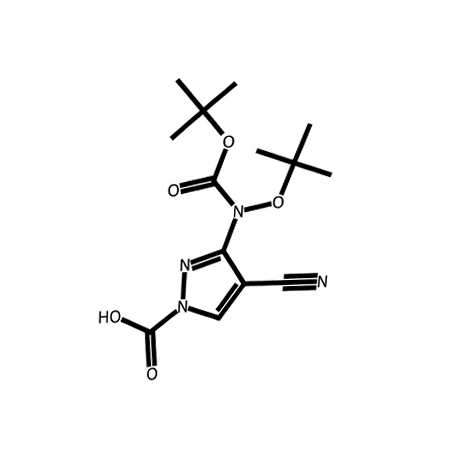 CC(C)(C)OC(=O)N(OC(C)(C)C)c1nn(C(=O)O)cc1C#N